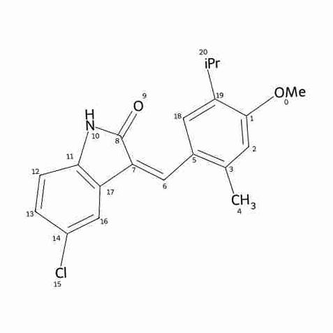 COc1cc(C)c(C=C2C(=O)Nc3ccc(Cl)cc32)cc1C(C)C